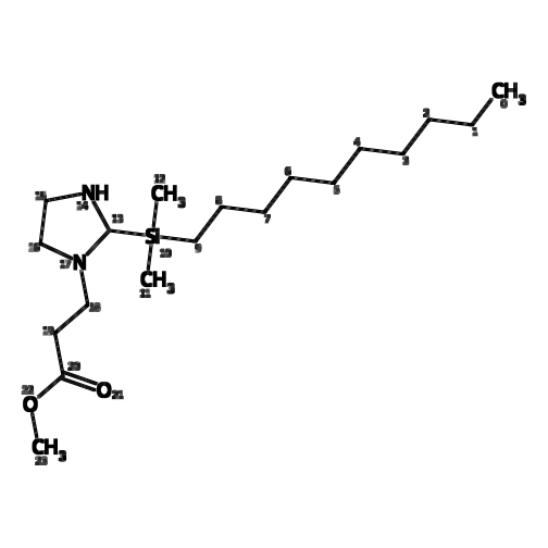 CCCCCCCCCC[Si](C)(C)C1NCCN1CCC(=O)OC